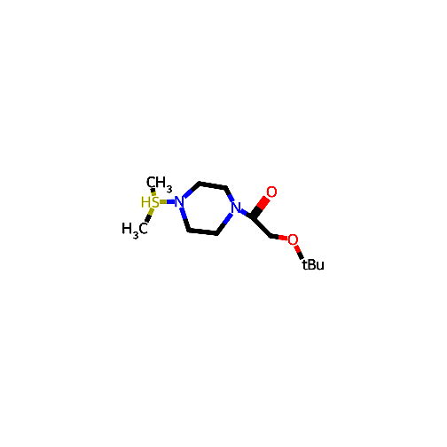 C[SH](C)N1CCN(C(=O)COC(C)(C)C)CC1